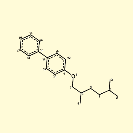 CC(C)CCC(C)COc1ccc(-c2ccccc2)cc1